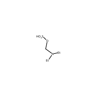 CCN(CC)COS(=O)(=O)O